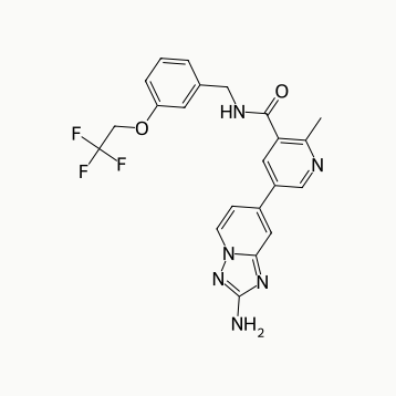 Cc1ncc(-c2ccn3nc(N)nc3c2)cc1C(=O)NCc1cccc(OCC(F)(F)F)c1